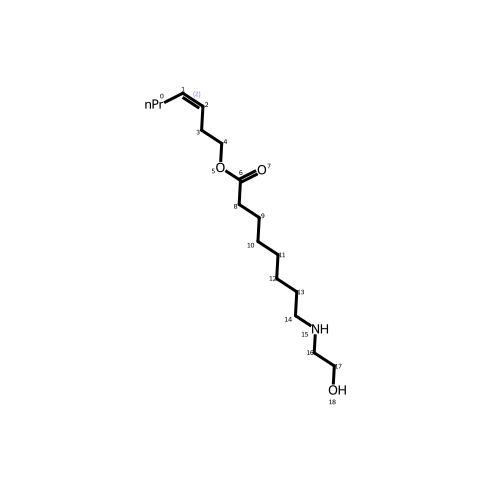 CCC/C=C\CCOC(=O)CCCCCCCNCCO